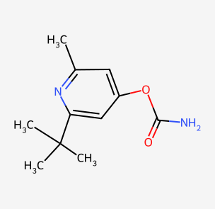 Cc1cc(OC(N)=O)cc(C(C)(C)C)n1